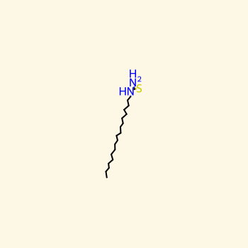 CCCCCCCCCCCCCCCCCCCNC(N)=S